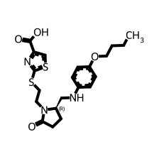 CCCCOc1ccc(NC[C@H]2CCC(=O)N2CCSc2nc(C(=O)O)cs2)cc1